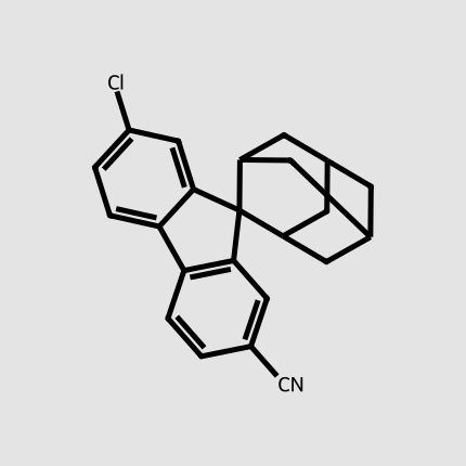 N#Cc1ccc2c(c1)C1(c3cc(Cl)ccc3-2)C2CC3CC(C2)CC1C3